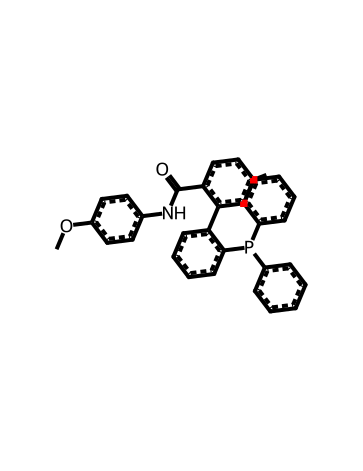 COc1ccc(NC(=O)c2ccc(C)cc2-c2ccccc2P(c2ccccc2)c2ccccc2)cc1